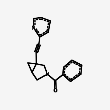 O=C(c1ccccc1)N1CC2CC2(C#Cc2ccccn2)C1